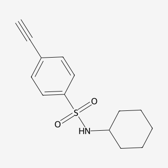 C#Cc1ccc(S(=O)(=O)NC2CCCCC2)cc1